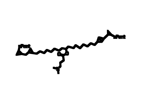 CCCCCC1CC1CC1CC1CCCCCCCCC(CCCCCCCCC1C2C(C3CC3CCCCC)C12)OC(=O)CCCN(C)C